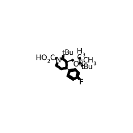 CC(C)(C)C1[C@@H](CO[Si](C)(C)C(C)(C)C)[C@H](c2ccc(F)cc2)CCN1C(=O)O